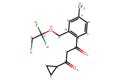 O=C(CC(=O)C1CC1)c1ccc(C(F)(F)F)cc1COC(F)(F)CF